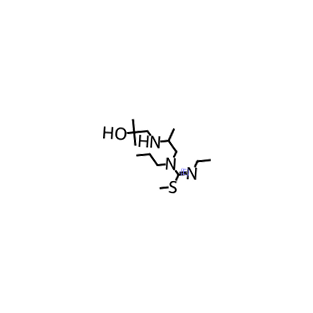 CCCN(CC(C)NCC(C)(C)O)/C(=N\CC)SC